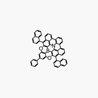 c1ccc(-c2cc3c4c(c2)Oc2c5c6c7c(cccc7c2-c2cccc7ccccc27)-c2cccc7c2N6c2c(c(c(-c6cccc8ccccc68)c6cccc-7c26)O3)B45)cc1